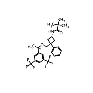 C[C@@H](OC[C@]1(c2ccccc2)C[C@@H](NC(=O)C(C)(C)N)C1)c1cc(C(F)(F)F)cc(C(F)(F)F)c1